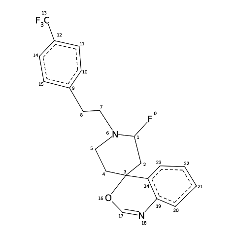 FC1CC2(CCN1CCc1ccc(C(F)(F)F)cc1)OC=Nc1ccccc12